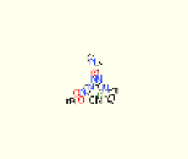 CC(C)(C)OC(=O)N1CCN(c2nc(OCC3(CN4CCCC4)CC3)nc3c2CCN(c2cccc4cccc(Cl)c24)C3)CC1CC#N